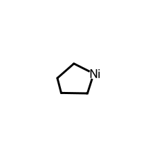 C1C[CH2][Ni][CH2]1